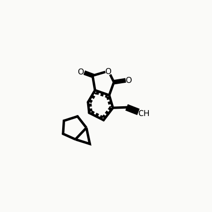 C#Cc1cccc2c1C(=O)OC2=O.C1CC2CC2C1